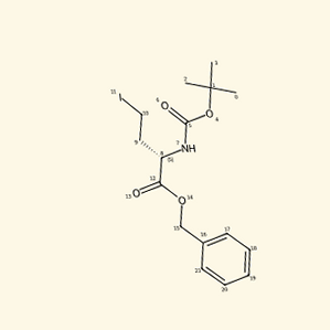 CC(C)(C)OC(=O)N[C@@H](CCI)C(=O)OCc1ccccc1